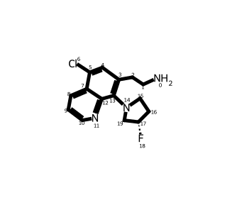 NCCc1cc(Cl)c2cccnc2c1N1CC[C@H](F)C1